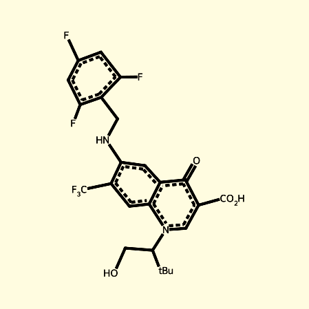 CC(C)(C)C(CO)n1cc(C(=O)O)c(=O)c2cc(NCc3c(F)cc(F)cc3F)c(C(F)(F)F)cc21